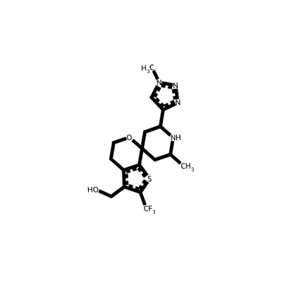 CC1CC2(CC(c3cn(C)nn3)N1)OCCc1c2sc(C(F)(F)F)c1CO